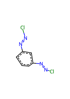 ClN=Nc1cccc(N=NCl)c1